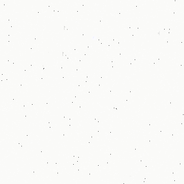 Cc1cc(C#Cc2ccc(C(C)(C)C)cc2)ccc1-n1c(/C=C/c2cc(C)c(O)c(C)c2)nc2ccccc2c1=O